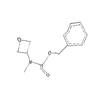 CN(C(=O)OCc1ccccc1)C1COC1